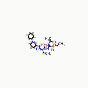 CCOB[C@H](CC(C)C)NC(=O)C(CC)NC(=O)c1cccc(-c2ccccc2)n1